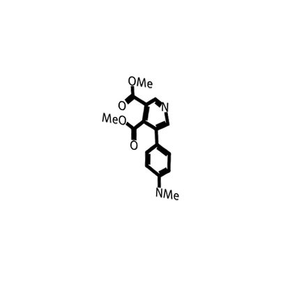 CNc1ccc(-c2cncc(C(=O)OC)c2C(=O)OC)cc1